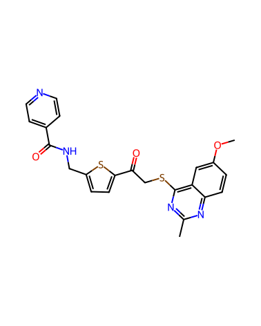 COc1ccc2nc(C)nc(SCC(=O)c3ccc(CNC(=O)c4ccncc4)s3)c2c1